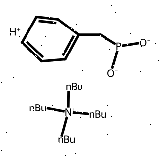 CCCC[N+](CCCC)(CCCC)CCCC.[H+].[O-]P([O-])Cc1ccccc1